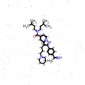 CC(=N)c1ccc(-c2nn3ccc(C(=O)N(CCC(C)C)CCC(C)C)cc3c2CCCN2CCCCC2)cc1